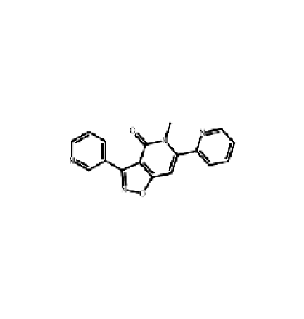 Cn1c(-c2ccccn2)cc2onc(-c3cccnc3)c2c1=O